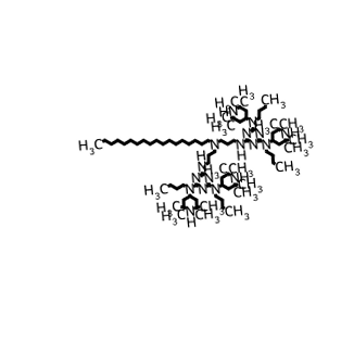 CCCCCCCCCCCCCCCCCCN(CCCNc1nc(N(CCCC)C2CC(C)(C)NC(C)(C)C2)nc(N(CCCC)C2CC(C)(C)NC(C)(C)C2)n1)CCCNc1nc(N(CCCC)C2CC(C)(C)NC(C)(C)C2)nc(N(CCCC)C2CC(C)(C)NC(C)(C)C2)n1